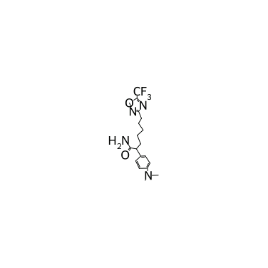 CN(C)c1ccc(C(CCCCCc2noc(C(F)(F)F)n2)C(N)=O)cc1